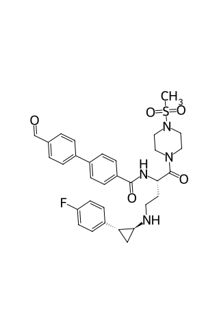 CS(=O)(=O)N1CCN(C(=O)[C@H](CCN[C@H]2C[C@@H]2c2ccc(F)cc2)NC(=O)c2ccc(-c3ccc(C=O)cc3)cc2)CC1